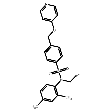 Cc1ccc(N(CC(C)C)S(=O)(=O)c2ccc(COc3ccncc3)cc2)c(C)c1